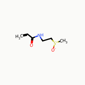 C=CC(=O)NCC[S+](C)[O-]